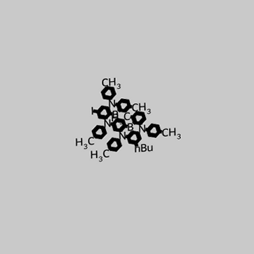 CCCCc1cc2c3c(c1)N(c1ccc(C)cc1)c1cccc(C)c1B3c1cc3c(cc1N2c1ccc(C)cc1)N(c1ccc(C)cc1)c1cc(I)cc2c1B3c1cc(C)ccc1N2c1ccc(C)cc1